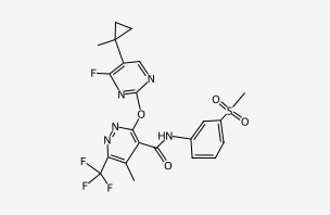 Cc1c(C(F)(F)F)nnc(Oc2ncc(C3(C)CC3)c(F)n2)c1C(=O)Nc1cccc(S(C)(=O)=O)c1